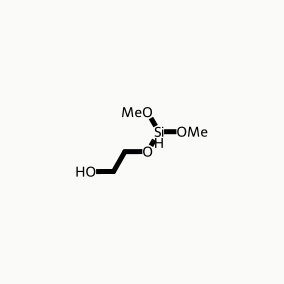 CO[SiH](OC)OCCO